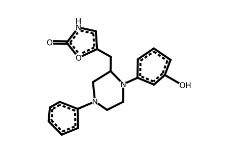 O=c1[nH]cc(CC2CN(c3ccccc3)CCN2c2cccc(O)c2)o1